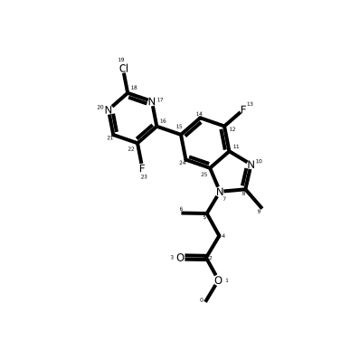 COC(=O)CC(C)n1c(C)nc2c(F)cc(-c3nc(Cl)ncc3F)cc21